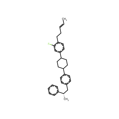 C/C=C/CCc1ccc(C2CCC(c3ccc(C[C@H](C)c4ccccc4)cc3)CC2)cc1F